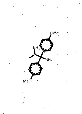 COc1ccc(C(N)(c2ccc(OC)cc2)C(C)N)cc1